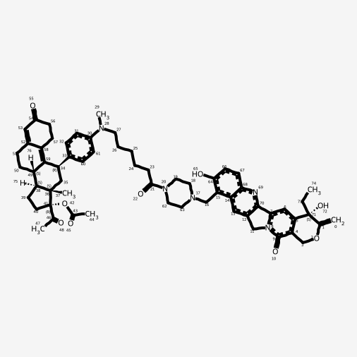 C=C1OCc2c(cc3n(c2=O)Cc2cc4c(CN5CCN(C(=O)CCCCCN(C)c6ccc([C@H]7C[C@@]8(C)[C@@H](CC[C@]8(OC(C)=O)C(C)=O)[C@@H]8CCC9=CC(=O)CCC9=C87)cc6)CC5)c(O)ccc4nc2-3)[C@@]1(O)CC